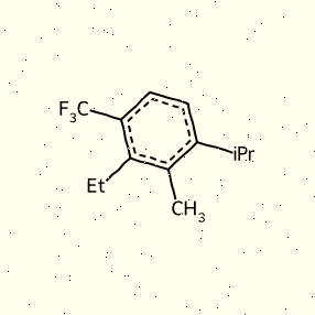 CCc1c(C(F)(F)F)ccc(C(C)C)c1C